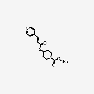 CC(C)(C)OC(=O)N1CCC(SC(=O)C=Cc2ccncc2)CC1